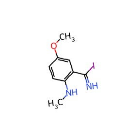 CNc1ccc(OC)cc1C(=N)I